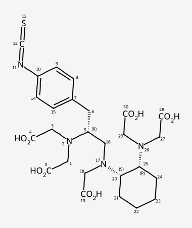 O=C(O)CN(CC(=O)O)[C@H](Cc1ccc(N=C=S)cc1)CN(CC(=O)O)[C@H]1CCCC[C@H]1N(CC(=O)O)CC(=O)O